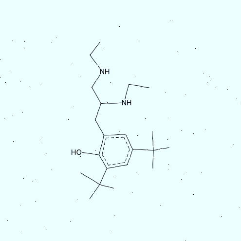 CCNCC(Cc1cc(C(C)(C)C)cc(C(C)(C)C)c1O)NCC